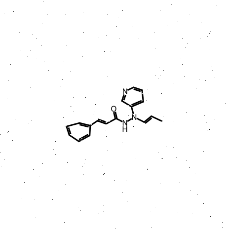 CC=CN(NC(=O)C=Cc1ccccc1)c1cccnc1